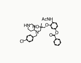 CC(=O)Nc1ccc(OC(=O)c2ccccc2)cc1OC[C@@](C)(O)CN(Cc1ccc(Cl)cc1)C1CCNCC1